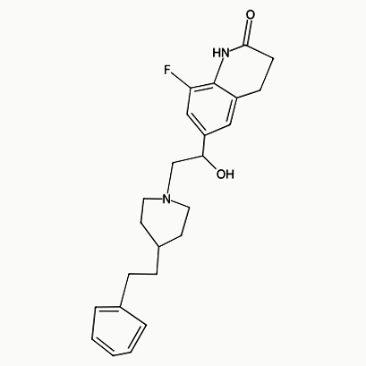 O=C1CCc2cc(C(O)CN3CCC(CCc4ccccc4)CC3)cc(F)c2N1